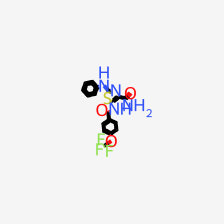 NC(=O)c1nc(Nc2ccccc2)sc1NC(=O)C1=CC=C(OC(F)(F)F)CC1